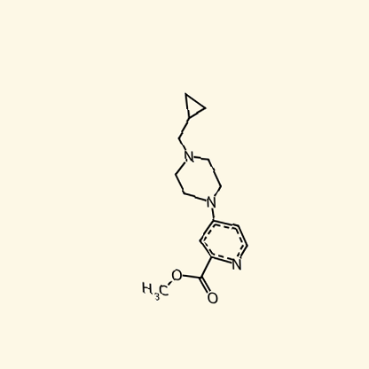 COC(=O)c1cc(N2CCN(CC3CC3)CC2)ccn1